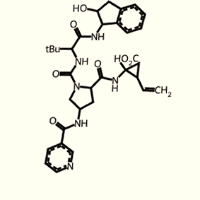 C=CC1CC1(NC(=O)C1CC(NC(=O)c2cccnc2)CN1C(=O)NC(C(=O)NC1c2ccccc2CC1O)C(C)(C)C)C(=O)O